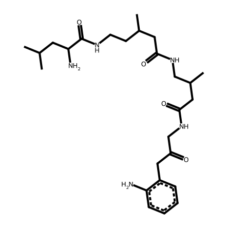 CC(C)CC(N)C(=O)NCCC(C)CC(=O)NCC(C)CC(=O)NCC(=O)Cc1ccccc1N